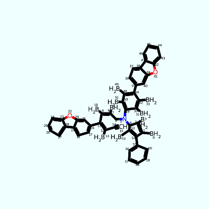 BC1=C(B)C(N(C/C(B)=C(B)\C(=C(\B)C#C)c2ccc3c(c2)oc2ccccc23)c2c(B)c(B)c(-c3ccc4c(c3)oc3ccccc34)c(B)c2B)C(B)=C1c1ccccc1